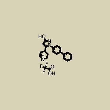 O=C(O)C(F)(F)F.Oc1cc(C2CCNCC2)n(-c2ccc(-c3ccccc3)cc2)n1